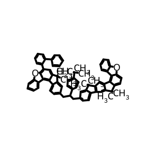 CC(C)(C)c1ccc(C(Cc2ccc3c(c2)C(C)(C)c2cc4c(cc2-3)C(C)(C)c2ccc3oc5ccccc5c3c2-4)Cc2ccc3c(c2)C(C)(C)c2cc(-c4ccccc4-c4ccccc4)c4oc5ccccc5c4c2-3)cc1